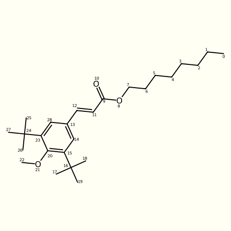 CCCCCCCCOC(=O)C=Cc1cc(C(C)(C)C)c(OC)c(C(C)(C)C)c1